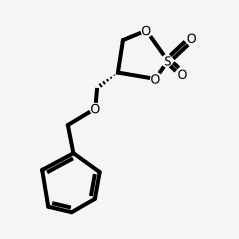 O=S1(=O)OC[C@@H](COCc2ccccc2)O1